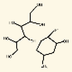 CC1CCC(C(C)C)C(O)C1.OCC(O)C(O)C(O)C(O)CO